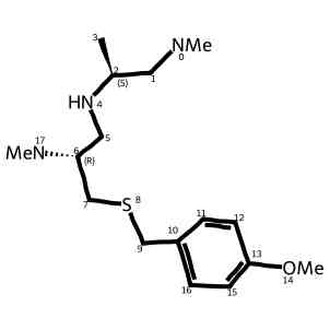 CNC[C@H](C)NC[C@H](CSCc1ccc(OC)cc1)NC